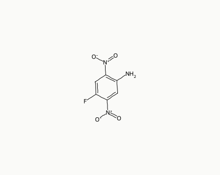 Nc1cc([N+](=O)[O-])c(F)cc1[N+](=O)[O-]